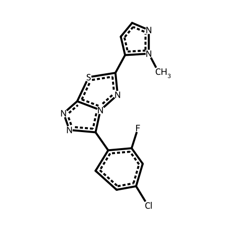 Cn1nccc1-c1nn2c(-c3ccc(Cl)cc3F)nnc2s1